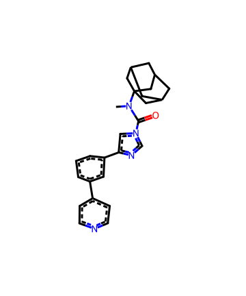 CN(C(=O)n1cnc(-c2cccc(-c3ccncc3)c2)c1)C12CC3CC(CC(C3)C1)C2